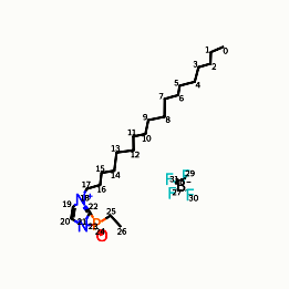 CCCCCCCCCCCCCCCCCC[n+]1ccn2c1P2(=O)CC.F[B-](F)(F)F